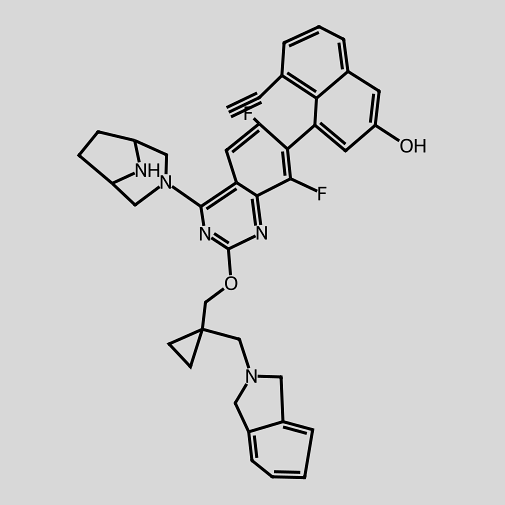 C#Cc1cccc2cc(O)cc(-c3c(F)cc4c(N5CC6CCC(C5)N6)nc(OCC5(CN6Cc7ccccc7C6)CC5)nc4c3F)c12